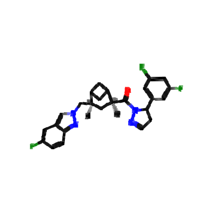 O=C([C@H]1C[C@@H](Cn2cc3cc(F)ccc3n2)C2CC1C2)N1N=CCC1c1cc(F)cc(F)c1